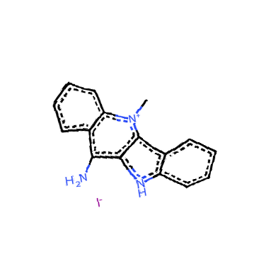 C[n+]1c2ccccc2c(N)c2[nH]c3ccccc3c21.[I-]